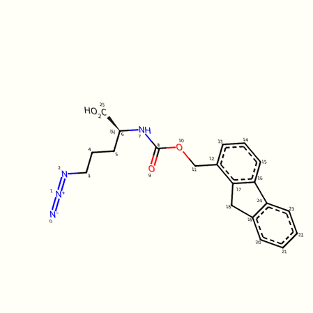 [N-]=[N+]=NCCC[C@H](NC(=O)OCc1cccc2c1Cc1ccccc1-2)C(=O)O